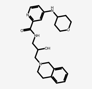 O=C(NCC(O)CN1CCc2ccccc2C1)c1cc(NC2CCOCC2)ccn1